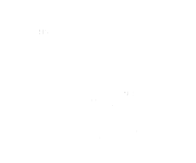 CC(C)C(=O)Nc1cc(C2CCNCC2)ccc1F